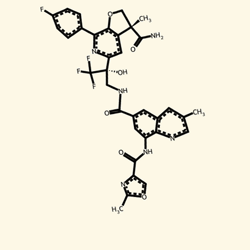 Cc1cnc2c(NC(=O)c3coc(C)n3)cc(C(=O)NC[C@](O)(c3cc4c(c(-c5ccc(F)cc5)n3)OC[C@]4(C)C(N)=O)C(F)(F)F)cc2c1